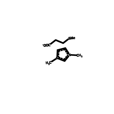 CSCCC(=O)[O-].Cn1cc[n+](C)c1